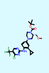 COC[C@@H]1CN(c2ccc(Nc3ncc(C(F)(F)F)c(Cl)n3)c(C3CC3)c2)CCN1C(=O)OC(C)(C)C